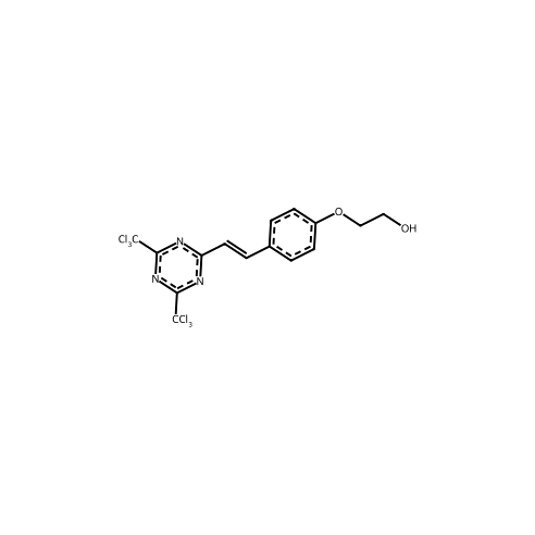 OCCOc1ccc(/C=C/c2nc(C(Cl)(Cl)Cl)nc(C(Cl)(Cl)Cl)n2)cc1